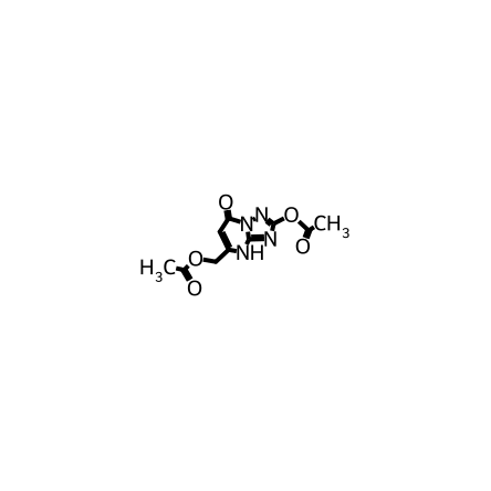 CC(=O)OCc1cc(=O)n2nc(OC(C)=O)nc2[nH]1